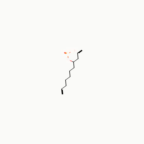 C=CCCCCCC(CC=C)O[PH](=O)O